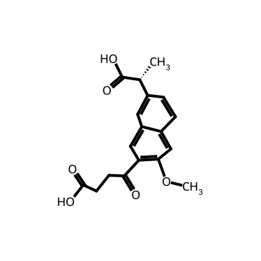 COc1cc2ccc([C@@H](C)C(=O)O)cc2cc1C(=O)CCC(=O)O